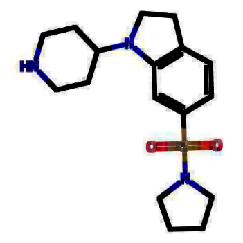 O=S(=O)(c1ccc2c(c1)N(C1CCNCC1)CC2)N1CCCC1